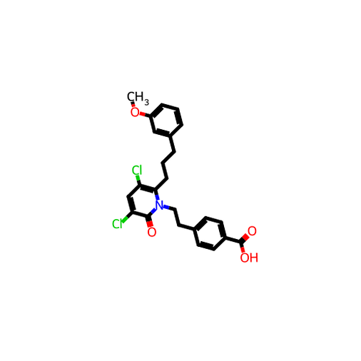 COc1cccc(CCCc2c(Cl)cc(Cl)c(=O)n2CCc2ccc(C(=O)O)cc2)c1